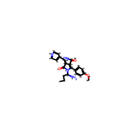 CCCC(N)N1C(=O)C2=C(c3ccncc3)NC(=O)C2=C1c1ccc(OC)cc1